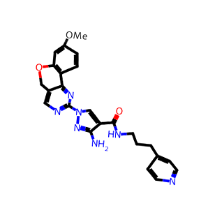 COc1ccc2c(c1)OCc1cnc(-n3cc(C(=O)NCCCc4ccncc4)c(N)n3)nc1-2